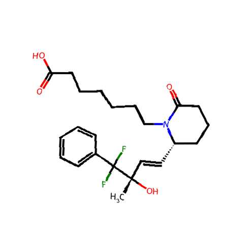 C[C@](O)(/C=C/[C@H]1CCCC(=O)N1CCCCCCC(=O)O)C(F)(F)c1ccccc1